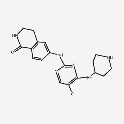 O=C1NCCc2cc(Nc3ncc(Cl)c(NC4CCNCC4)n3)ccc21